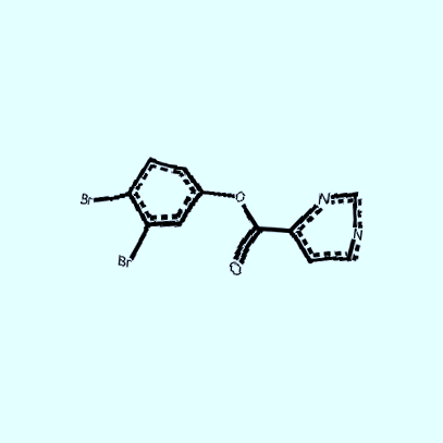 O=C(Oc1ccc(Br)c(Br)c1)c1ccncn1